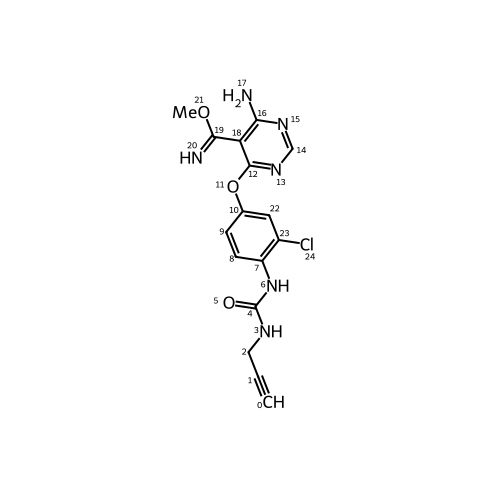 C#CCNC(=O)Nc1ccc(Oc2ncnc(N)c2C(=N)OC)cc1Cl